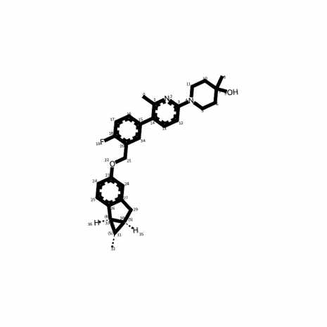 Cc1nc(N2CCC(C)(O)CC2)ccc1-c1ccc(F)c(COc2ccc3c(c2)C[C@H]2[C@H](C)[C@@H]32)c1